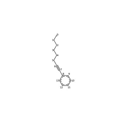 [CH2]CCCCCC#Cc1ccccc1